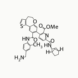 COC(=O)c1nc(C(=O)N[C@H]2C[C@@H]3CC[C@H]2C3)ccc1-c1cc2c(cc1C(=O)Nc1ccc(CN)cc1C)-c1sccc1CCO2